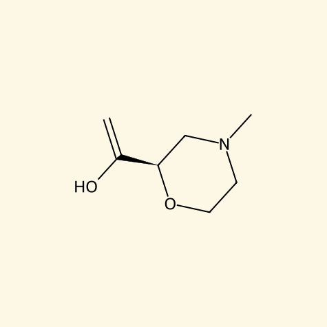 C=C(O)[C@H]1CN(C)CCO1